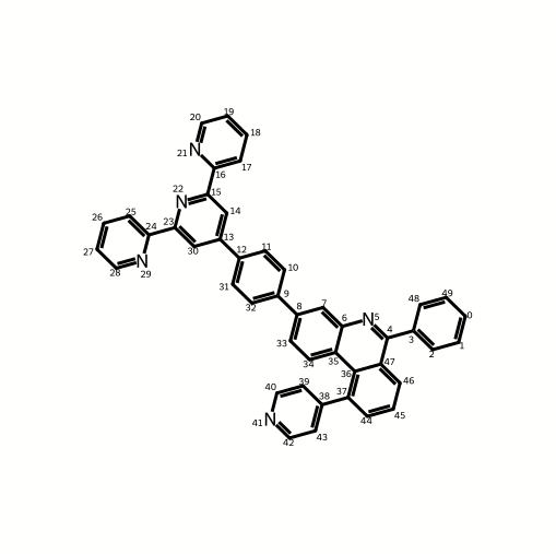 c1ccc(-c2nc3cc(-c4ccc(-c5cc(-c6ccccn6)nc(-c6ccccn6)c5)cc4)ccc3c3c(-c4ccncc4)cccc23)cc1